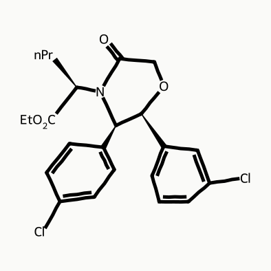 CCC[C@H](C(=O)OCC)N1C(=O)CO[C@@H](c2cccc(Cl)c2)[C@H]1c1ccc(Cl)cc1